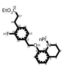 CCCN1CCCc2cccc(OCc3ccc(CCC(=O)OCC)c(F)c3)c21